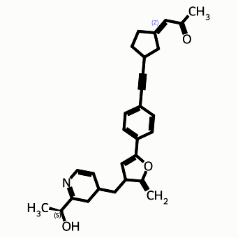 C=C1OC(c2ccc(C#CC3CC/C(=C/C(C)=O)C3)cc2)=CC1CC1C=CN=C([C@H](C)O)C1